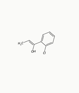 CC=C(O)c1ccccc1Cl